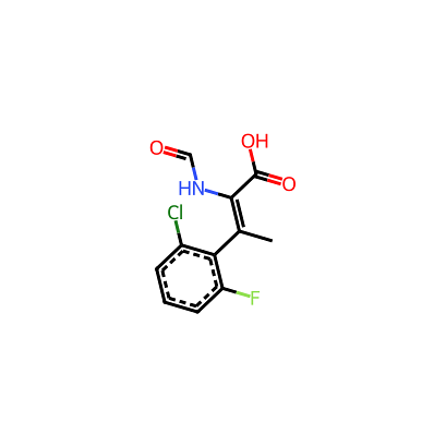 CC(=C(NC=O)C(=O)O)c1c(F)cccc1Cl